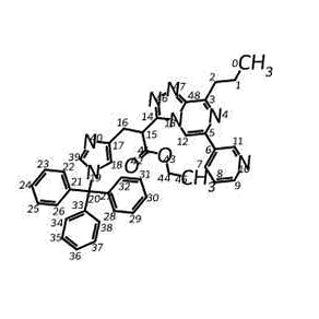 CCCc1nc(-c2cccnc2)cn2c(C(Cc3cn(C(c4ccccc4)(c4ccccc4)c4ccccc4)cn3)C(=O)OCC)nnc12